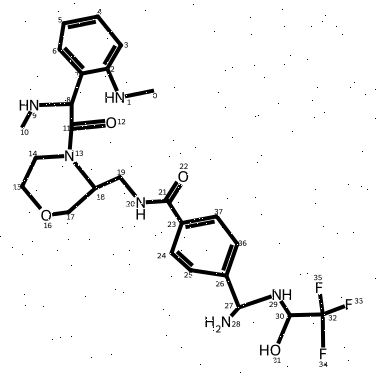 CNc1ccccc1C(NC)C(=O)N1CCOCC1CNC(=O)c1ccc(C(N)NC(O)C(F)(F)F)cc1